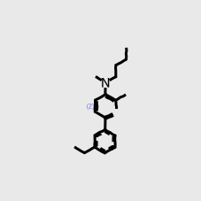 C=C(/C=C\C(=C(C)C)N(C)CCCC)c1cccc(CC)c1